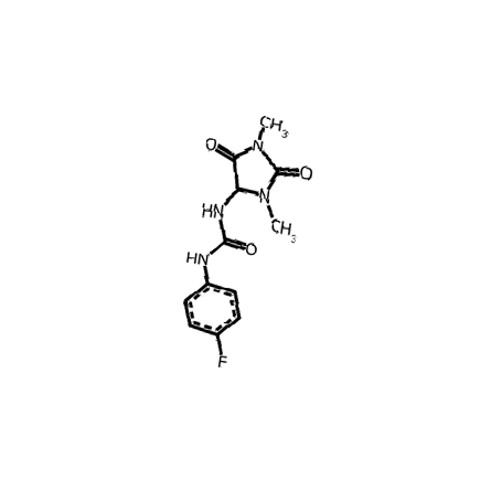 CN1C(=O)C(NC(=O)Nc2ccc(F)cc2)N(C)C1=O